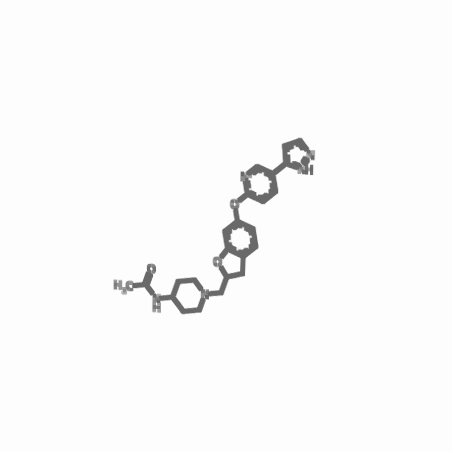 CC(=O)NC1CCN(CC2Cc3ccc(Oc4ccc(-c5ccn[nH]5)cn4)cc3O2)CC1